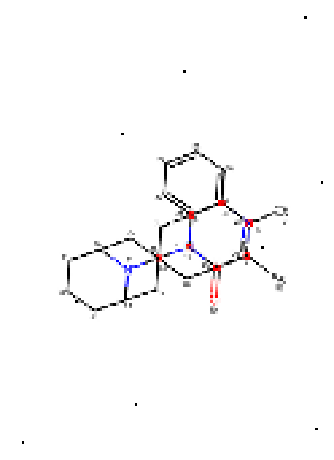 CCC1CC2CC(C1)CC(N1C3CCCC1CC(n1c(=O)c(C(C)=O)nc4ccccc41)C3)C2